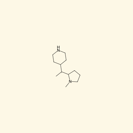 C[C](C1CCNCC1)C1CCCN1C